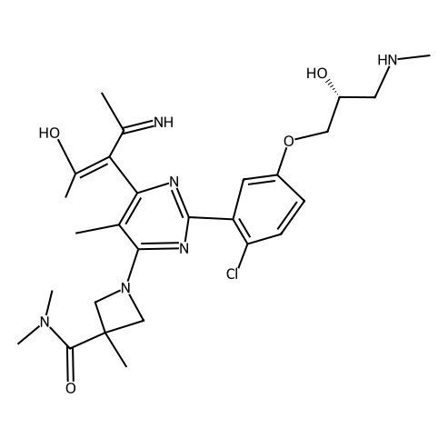 CNC[C@@H](O)COc1ccc(Cl)c(-c2nc(/C(C(C)=N)=C(\C)O)c(C)c(N3CC(C)(C(=O)N(C)C)C3)n2)c1